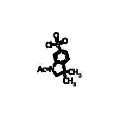 CC(=O)N1CC(C)(C)c2ccc(S(=O)(=O)Cl)cc21